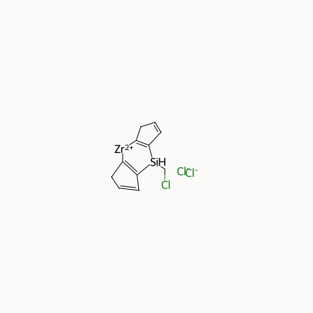 ClC[SiH]1C2=[C](CC=C2)[Zr+2][C]2=C1C=CC2.[Cl-].[Cl-]